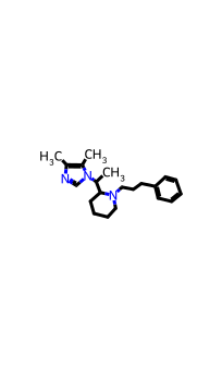 Cc1ncn(C(C)C2CCCCN2CCCc2ccccc2)c1C